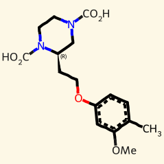 COc1cc(OCC[C@@H]2CN(C(=O)O)CCN2C(=O)O)ccc1C